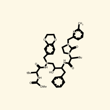 CCC(C)C(C(=O)NC(Cc1ccccc1)C(O)CN(Cc1ccc2c(c1)OCCO2)NC(=O)C(NC(=O)OC)C(C)(C)C)N1CCN(Cc2cccc(C)n2)C1=O